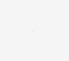 CC(C)n1c[c]cc1